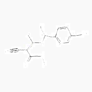 CSC(=O)/C(C#N)=C(/C)NC(C)c1ccc(F)cc1